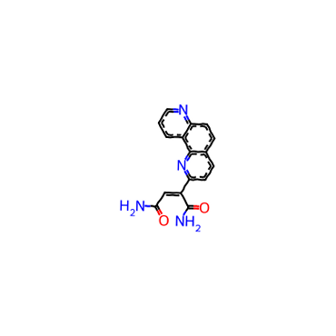 NC(=O)C=C(C(N)=O)c1ccc2ccc3ncccc3c2n1